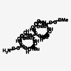 CCCCOc1c2cccc1C(=O)NCCN(CCN1CCNC(=O)c3cccc(c3OCCCC)C(=O)NCCN(CCOCCOCCOC)CCNC(=O)c3cccc(c3OCCCC)C(=O)NCC1)CCNC(=O)c1cccc(c1OCCCC)C(=O)NCCN(CCOCCOCCN)CCNC2=O